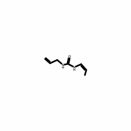 C=CCNC(=O)N/C=C\C